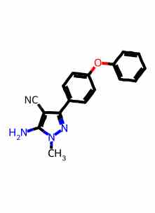 Cn1nc(-c2ccc(Oc3ccccc3)cc2)c(C#N)c1N